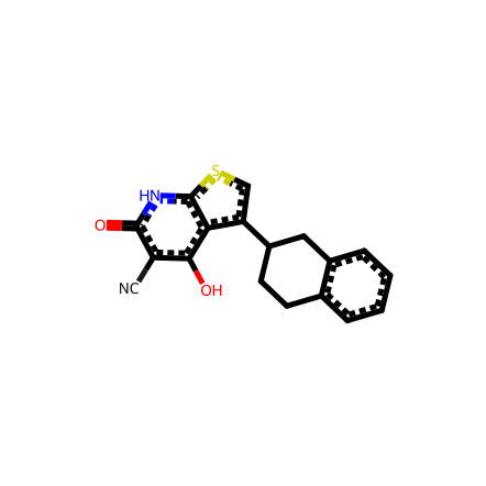 N#Cc1c(O)c2c(C3CCc4ccccc4C3)csc2[nH]c1=O